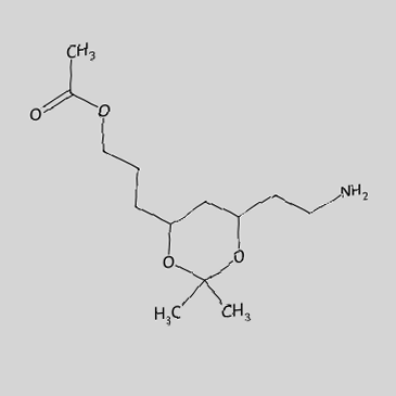 CC(=O)OCCCC1CC(CCN)OC(C)(C)O1